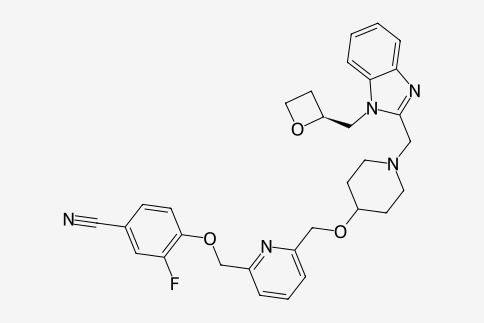 N#Cc1ccc(OCc2cccc(COC3CCN(Cc4nc5ccccc5n4C[C@@H]4CCO4)CC3)n2)c(F)c1